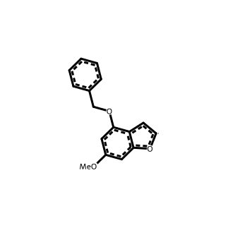 COc1cc(OCc2ccccc2)c2c[c]oc2c1